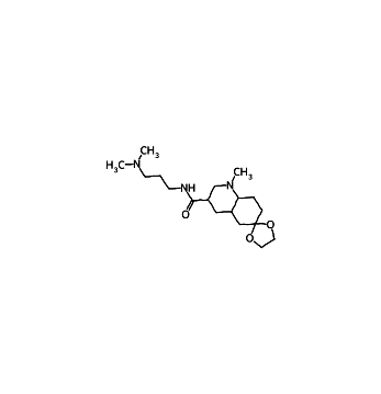 CN(C)CCCNC(=O)C1CC2CC3(CCC2N(C)C1)OCCO3